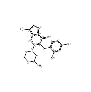 N#Cc1cc(O)ccc1Cn1c(N2CCCC(N)C2)nc2c(C(F)(F)F)csc2c1=O